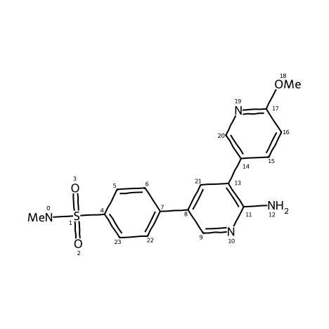 CNS(=O)(=O)c1ccc(-c2cnc(N)c(-c3ccc(OC)nc3)c2)cc1